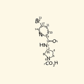 O=C(N[C@@H]1CCN(C(=O)O)C1)c1ccc(Br)cn1